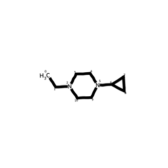 CCN1CCN(C2CC2)CC1